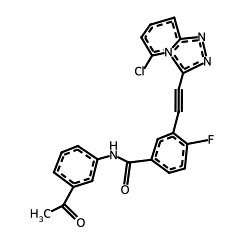 CC(=O)c1cccc(NC(=O)c2ccc(F)c(C#Cc3nnc4cccc(Cl)n34)c2)c1